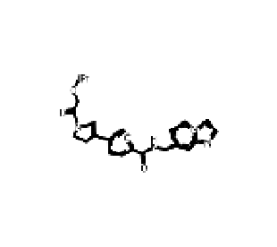 CC(C)OCC(=O)N1CCC(c2ccc(C(=O)NCc3ccn4ccnc4c3)cc2)C1